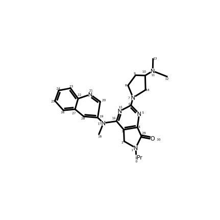 CC(C)N1Cc2c(nc(N3CCC(N(C)C)C3)nc2N(C)c2cnc3ccccc3c2)C1=O